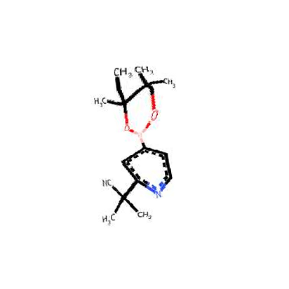 CC(C)(C#N)c1cc(B2OC(C)(C)C(C)(C)O2)ccn1